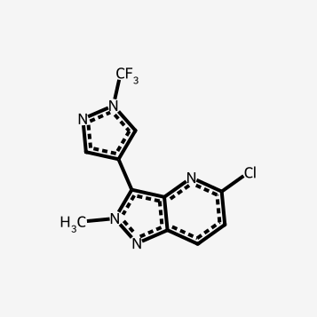 Cn1nc2ccc(Cl)nc2c1-c1cnn(C(F)(F)F)c1